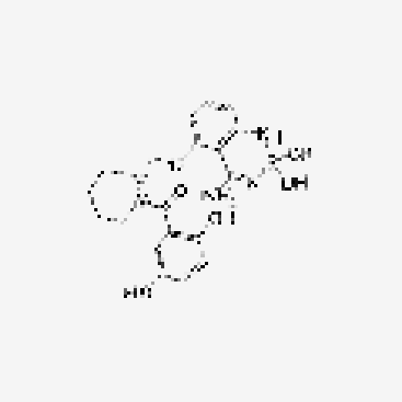 NC1=NS(O)(O)Nc2cccc(OC[C@H]3CCCCN3C(=O)c3cc(O)ccc3O)c21